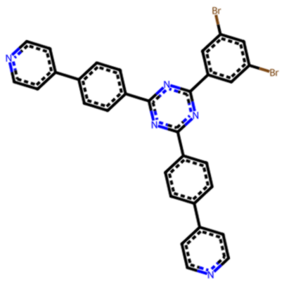 Brc1cc(Br)cc(-c2nc(-c3ccc(-c4ccncc4)cc3)nc(-c3ccc(-c4ccncc4)cc3)n2)c1